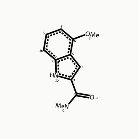 CNC(=O)c1cc2c(OC)cccc2[nH]1